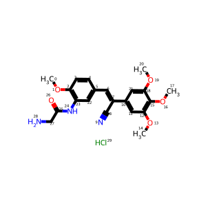 COc1ccc(C=C(C#N)c2cc(OC)c(OC)c(OC)c2)cc1NC(=O)CN.Cl